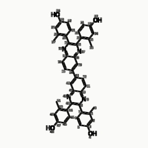 Cc1cc(O)ccc1-c1nc2ccc(-c3ccc4nc(-c5ccc(O)cc5C)c(-c5ccc(O)cc5C)nc4c3)cc2nc1-c1ccc(O)cc1C